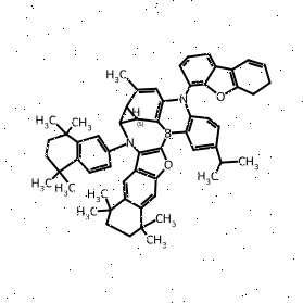 CC1=CC2=C3B(c4cc(C(C)C)ccc4N2c2cccc4c5c(oc24)CCC=C5)c2oc4cc5c(cc4c2N(c2ccc4c(c2)C(C)(C)CCC4(C)C)C2C1[C@@H]32)C(C)(C)CCC5(C)C